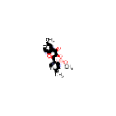 C=C/C=C\C(=C/C)c1oc(=C/C)/c(=C\C=C)c(=O)c1OBOC